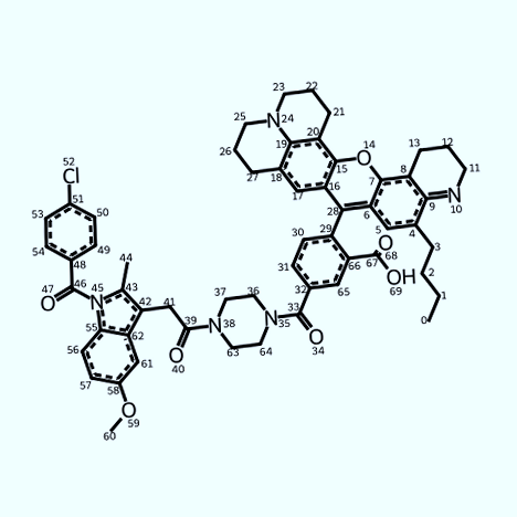 CCCCc1cc2c(c3c1=NCCC3)Oc1c(cc3c4c1CCCN4CCC3)C=2c1ccc(C(=O)N2CCN(C(=O)Cc3c(C)n(C(=O)c4ccc(Cl)cc4)c4ccc(OC)cc34)CC2)cc1C(=O)O